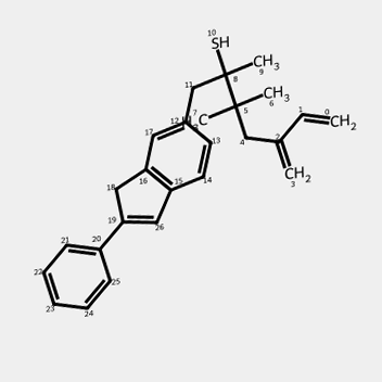 C=CC(=C)CC(C)(C)C(C)(S)Cc1ccc2c(c1)CC(c1ccccc1)=C2